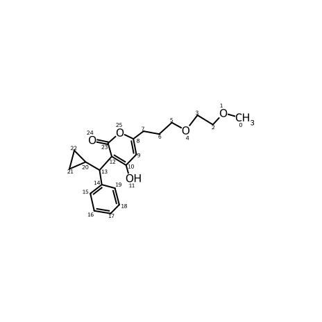 COCCOCCCc1cc(O)c(C(c2ccccc2)C2CC2)c(=O)o1